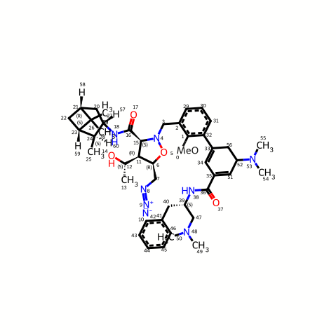 COc1c(CN2O[C@@H](CN=[N+]=[N-])[C@@H]([C@H](C)O)[C@H]2C(=O)N[C@H]2C[C@H]3C[C@@H]([C@@H]2C)C3(C)C)cccc1C1=CC(C(=O)N[C@@H](Cc2ccccc2)CN(C)C)=CC(N(C)C)C1